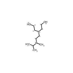 CC(C)N(C)CCN(CCO)CCO